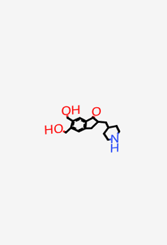 O=C1c2cc(CO)c(CO)cc2CC1CC1CCNCC1